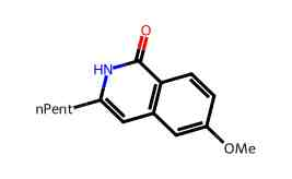 CCCCCc1cc2cc(OC)ccc2c(=O)[nH]1